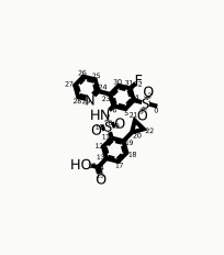 CS(=O)(=O)c1cc(NS(=O)(=O)c2cc(C(=O)O)ccc2C2CC2)c(-c2ccccn2)cc1F